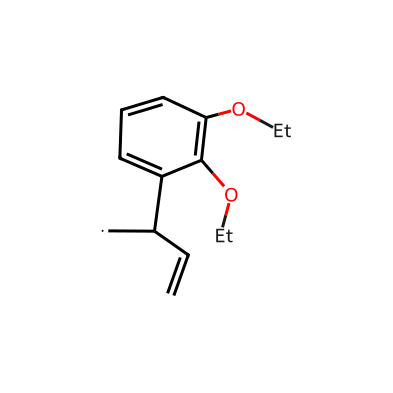 [CH2]C(C=C)c1cccc(OCC)c1OCC